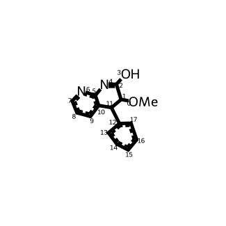 COC1C(O)=Nc2ncccc2C1c1ccccc1